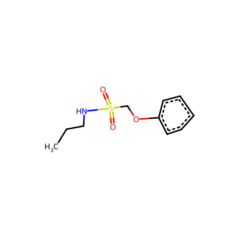 CCCNS(=O)(=O)[CH]Oc1ccccc1